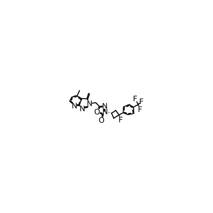 C=C1c2c(C)ccnc2N=CN1Cc1nn([C@H]2C[C@@](F)(c3ccc(C(F)(F)F)cc3)C2)c(=O)o1